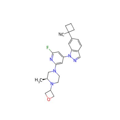 C[C@H]1CN(c2cc(-n3ncc4ccc(C5(C#N)CCC5)cc43)cc(F)n2)CCN1C1COC1